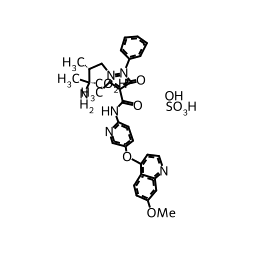 COc1ccc2c(Oc3ccc(NC(=O)c4c(C)n(C[C@@H](C)[C@](C)(N)C(=O)O)n(-c5ccccc5)c4=O)nc3)ccnc2c1.O=S(=O)(O)O